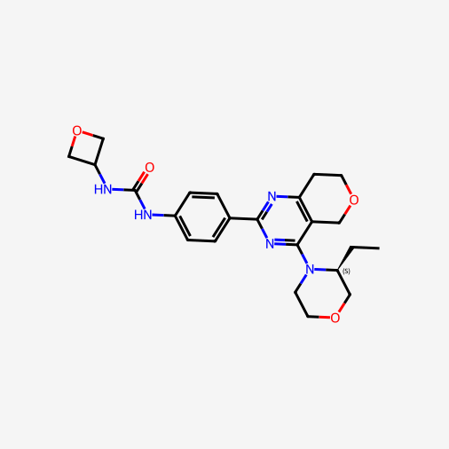 CC[C@H]1COCCN1c1nc(-c2ccc(NC(=O)NC3COC3)cc2)nc2c1COCC2